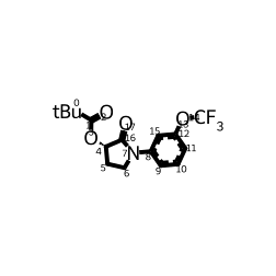 CC(C)(C)C(=O)O[C@H]1CCN(c2cccc(OC(F)(F)F)c2)C1=O